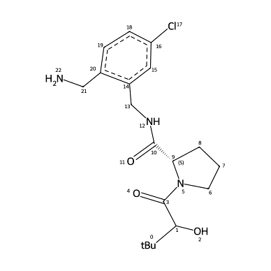 CC(C)(C)C(O)C(=O)N1CCC[C@H]1C(=O)NCc1cc(Cl)ccc1CN